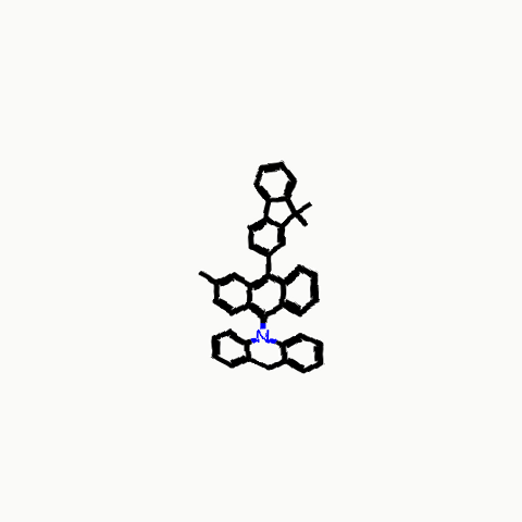 Cc1ccc2c(N3c4ccccc4Cc4ccccc43)c3ccccc3c(-c3ccc4c(c3)C(C)(C)c3ccccc3-4)c2c1